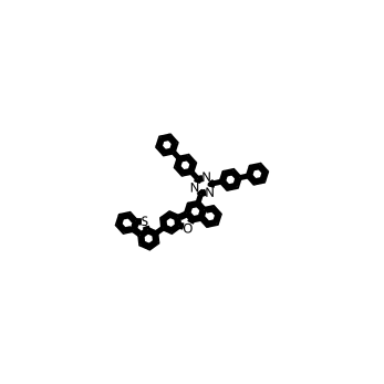 c1ccc(-c2ccc(-c3nc(-c4ccc(-c5ccccc5)cc4)nc(-c4cc5c6ccc(-c7cccc8c7sc7ccccc78)cc6oc5c5ccccc45)n3)cc2)cc1